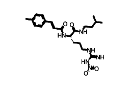 Cc1ccc(C=CC(=O)N[C@@H](CCCNC(=N)N[N+](=O)[O-])C(=O)N[CH]CC(C)C)cc1